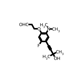 CN(C)c1cc(C#CC(C)(C)O)c(F)cc1OCCC=O